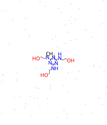 CN(CCO)c1nc(NCCO)nc(NCCO)n1